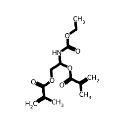 C=C(C)C(=O)OCC(NC(=O)OCC)OC(=O)C(=C)C